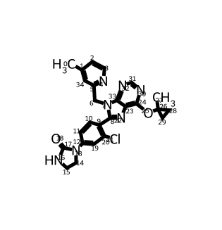 Cc1ccnc(Cn2c(-c3ccc(N4CCNC4=O)cc3Cl)nc3c(OC4(C)CC4)ncnc32)c1